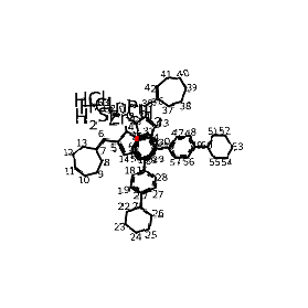 CC[CH2][Zr]([CH3])(=[SiH2])([CH]1C(CC2CCCCCC2)=Cc2c(-c3ccc(C4CCCCC4)cc3)cccc21)[CH]1C(CC2CCCCCC2)=Cc2c(-c3ccc(C4CCCCC4)cc3)cccc21.Cl.Cl